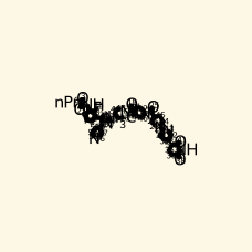 CCCS(=O)(=O)Nc1cccc(-c2cn(C3CCN(C(=O)C4(C)CCN(C(=O)C5CCN(c6ccc([C@@H]7CCC(=O)NC7=O)cn6)CC5)CC4)CC3)nc2-c2ccncc2)c1F